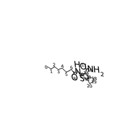 CCCCCCCC(=O)Nc1sc2c(c1C(N)=O)CCC2